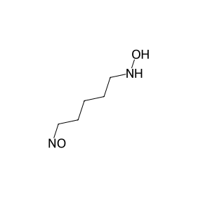 O=NCCCCCNO